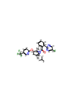 CC(C)C[C@@H]1[C@H]2C[C@@H](Oc3ccc(C(F)(F)F)cn3)[C@H](C2)N1C(=O)c1ccccc1-c1ncc(F)cn1